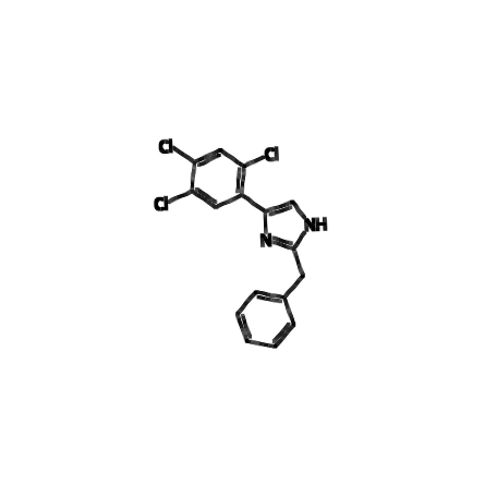 Clc1cc(Cl)c(-c2c[nH]c(Cc3ccccc3)n2)cc1Cl